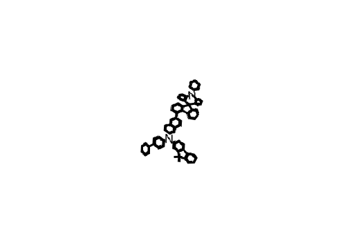 CC1(C)c2ccccc2-c2ccc(N(c3ccc(-c4ccccc4)cc3)c3ccc4cc(-c5cccc6c5-c5ccccc5C65c6ccccc6N(c6ccccc6)c6ccccc65)ccc4c3)cc21